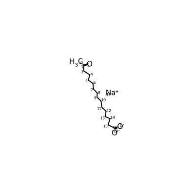 CC(=O)CCCCCCCCCCCCCC(=O)[O-].[Na+]